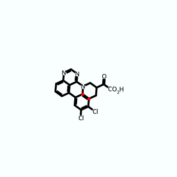 O=C(O)C(=O)C1CCCN(c2ncnc3cccc(-c4ccc(Cl)c(Cl)c4)c23)C1